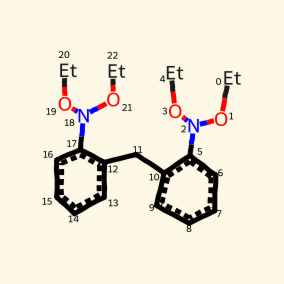 CCON(OCC)c1ccccc1Cc1ccccc1N(OCC)OCC